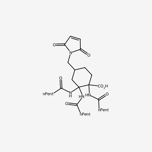 CCCCCC(=O)NC1(NC(=O)CCCCC)CC(CN2C(=O)C=CC2=O)CCC1(NC(=O)CCCCC)C(=O)O